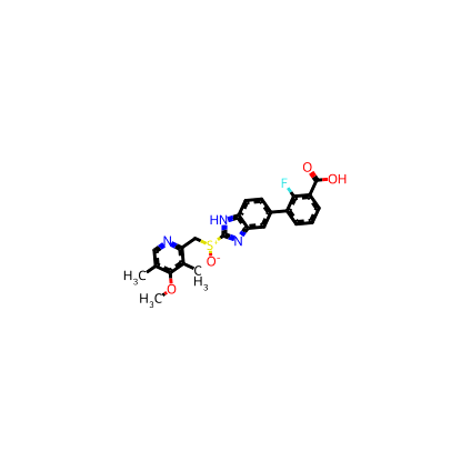 COc1c(C)cnc(C[S+]([O-])c2nc3cc(-c4cccc(C(=O)O)c4F)ccc3[nH]2)c1C